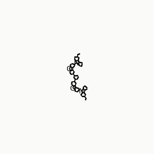 C=Cc1ccc2c(c1)c1ccccc1n2-c1ccc2oc3ccc(-c4cccc(-c5ccc6oc7ccc(-n8c9ccccc9c9cc(C=C)ccc98)cc7c6c5)c4)cc3c2c1